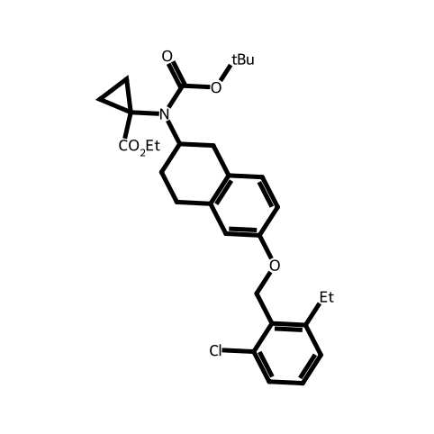 CCOC(=O)C1(N(C(=O)OC(C)(C)C)C2CCc3cc(OCc4c(Cl)cccc4CC)ccc3C2)CC1